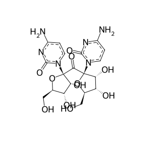 Nc1ccn([C@]2(C(=O)[C@@]3(n4ccc(N)nc4=O)O[C@H](CO)[C@@H](O)[C@H]3O)O[C@H](CO)[C@@H](O)[C@H]2O)c(=O)n1